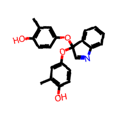 Cc1cc(OC2(Oc3ccc(O)c(C)c3)C=Nc3ccccc32)ccc1O